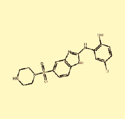 O=S(=O)(c1ccc2[nH]c(Nc3cc(Cl)ccc3O)nc2c1)N1CCNCC1